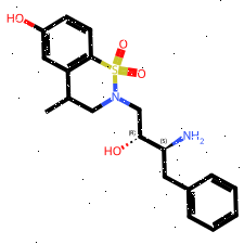 CC1CN(C[C@@H](O)[C@@H](N)Cc2ccccc2)S(=O)(=O)c2ccc(O)cc21